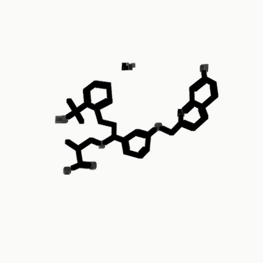 CC(CSC(CCc1ccccc1C(C)(C)O)c1cccc(OCc2ccc3ccc(Cl)cc3n2)c1)C(=O)[O-].[Na+]